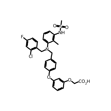 Cc1c(NS(C)(=O)=O)cccc1N(Cc1ccc(Oc2cccc(OCC(=O)O)c2)cc1)Cc1ccc(F)cc1Cl